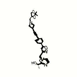 C[C@H](O)c1nccn1Cc1cc(-c2ccc(C#CC3CN(C[C@H]4COC(C)(C)O4)C3)cc2)on1